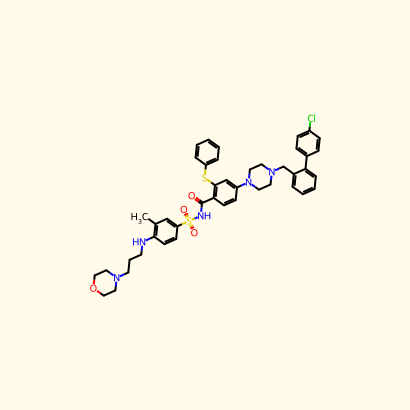 Cc1cc(S(=O)(=O)NC(=O)c2ccc(N3CCN(Cc4ccccc4-c4ccc(Cl)cc4)CC3)cc2Sc2ccccc2)ccc1NCCCN1CCOCC1